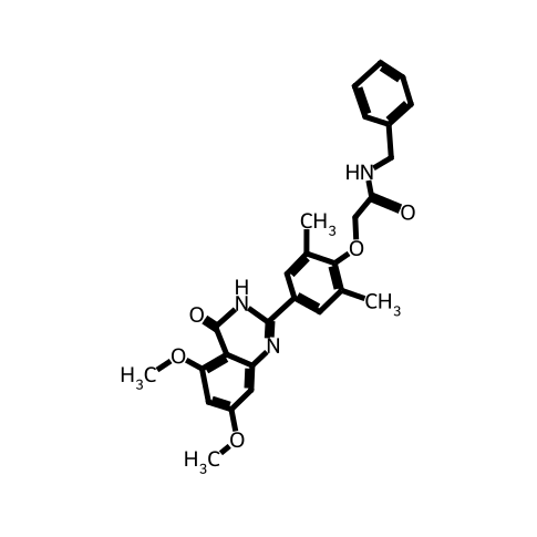 COc1cc(OC)c2c(=O)[nH]c(-c3cc(C)c(OCC(=O)NCc4ccccc4)c(C)c3)nc2c1